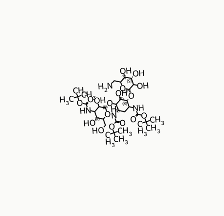 CC(C)(C)OC(=O)NC1C(O)[C@H](OC2[C@@H](NC(=O)OC(C)(C)C)CC(NC(=O)OC(C)(C)C)[C@@H](O[C@H]3OC(CN)[C@@H](O)[C@H](O)C3O)[C@@H]2O)OC(CO)[C@@H]1O